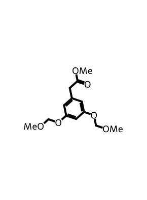 COCOc1cc(CC(=O)OC)cc(OCOC)c1